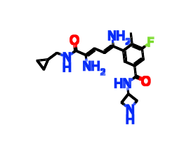 Cc1c(F)cc(C(=O)NC2CNC2)cc1/C(N)=C/C=C(\N)C(=O)NCC1CC1